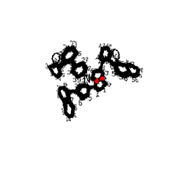 c1ccc(-c2ccc(-c3cccc4ccccc34)cc2N(c2ccc(-c3cccc4oc5ccccc5c34)cc2)c2cccc(-c3cccc4oc5c6ccccc6ccc5c34)c2)cc1